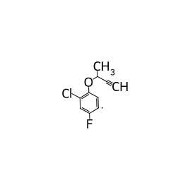 C#CC(C)Oc1c[c]c(F)cc1Cl